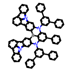 c1ccc(-c2cc(-c3ccccc3)cc(N3c4cc5c(cc4B4c6cc7c8cccc9c%10ccccc%10n(c7cc6N(c6cc(-c7ccccc7)cc(-c7ccccc7)c6)c6cc(-c7ccccc7)cc3c64)c98)c3cccc4c6ccccc6n5c43)c2)cc1